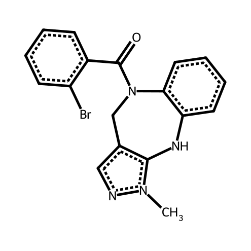 Cn1ncc2c1Nc1ccccc1N(C(=O)c1ccccc1Br)C2